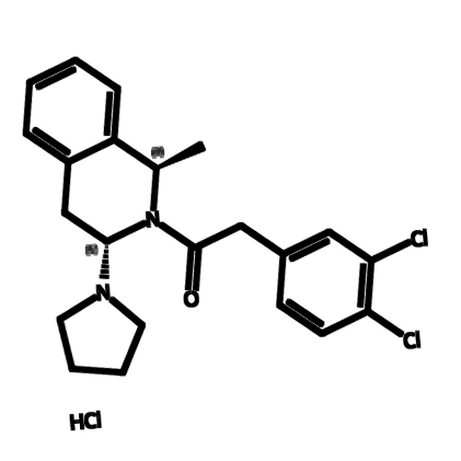 C[C@@H]1c2ccccc2C[C@@H](N2CCCC2)N1C(=O)Cc1ccc(Cl)c(Cl)c1.Cl